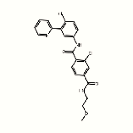 COCCNC(=O)c1ccc(C(=O)Nc2ccc(Cl)c(-c3ccccn3)c2)c(Cl)c1